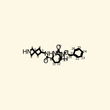 O=C(NC1CC2(CNC2)C1)[C@@H]1CC[C@@H]2CN1C(=O)N2OCc1ccccc1